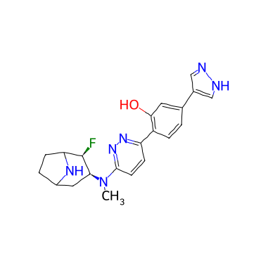 CN(c1ccc(-c2ccc(-c3cn[nH]c3)cc2O)nn1)[C@H]1CC2CCC(N2)[C@H]1F